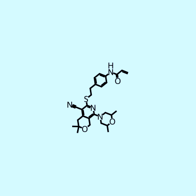 C=CC(=O)Nc1ccc(CCSc2nc(N3CC(C)OC(C)C3)c3c(c2C#N)CC(C)(C)OC3)cc1